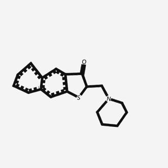 O=C1c2cc3ccccc3cc2SC1CN1CCCCC1